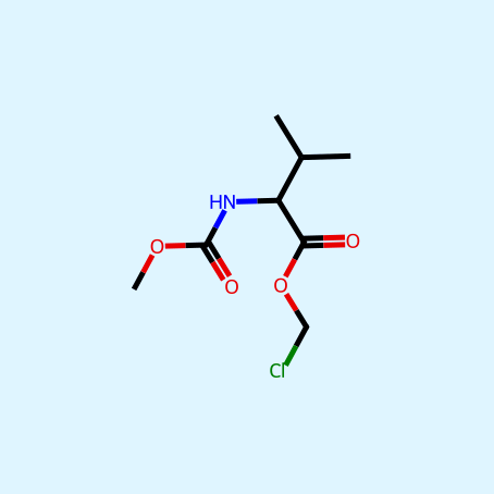 COC(=O)NC(C(=O)OCCl)C(C)C